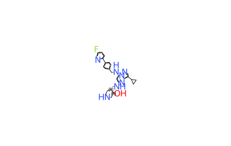 O[C@H]1CNCC[C@@H]1CNc1cc(NCc2ccc(-c3ccc(F)cn3)cc2)n2ncc(C3CC3)c2n1